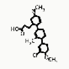 COC1C=CC(C2C=C(C)C(C3C=C(Cl)C(OC)CC3)CC2)C(CCC(=O)O)C1